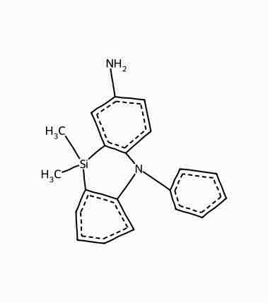 C[Si]1(C)c2ccccc2N(c2ccccc2)c2ccc(N)cc21